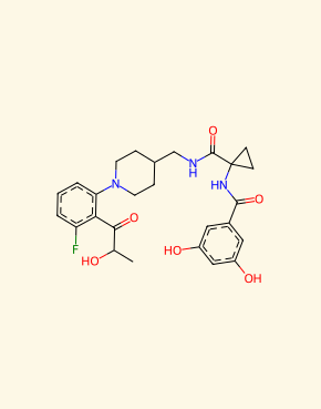 CC(O)C(=O)c1c(F)cccc1N1CCC(CNC(=O)C2(NC(=O)c3cc(O)cc(O)c3)CC2)CC1